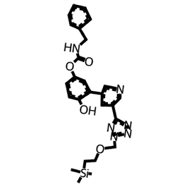 C[Si](C)(C)CCOCn1nnc(-c2cncc(-c3cc(OC(=O)NCc4ccccc4)ccc3O)c2)n1